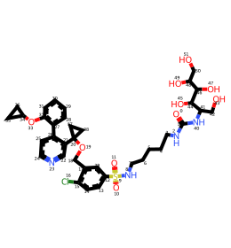 O=C(NCCCCCNS(=O)(=O)c1ccc(Cl)c(COC2(c3cnccc3-c3ccccc3OC3CC3)CC2)c1)NC(CO)C(O)C(O)C(O)CO